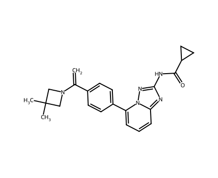 C=C(c1ccc(-c2cccc3nc(NC(=O)C4CC4)nn23)cc1)N1CC(C)(C)C1